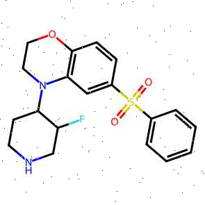 O=S(=O)(c1ccccc1)c1ccc2c(c1)N(C1CCNCC1F)CCO2